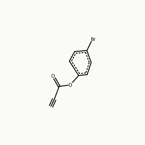 C#CC(=O)Oc1ccc(Br)cc1